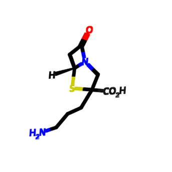 NCCCC1(C(=O)O)CN2C(=O)C[C@H]2S1